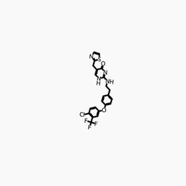 O=c1nc(NCCc2ccc(Oc3ccc(Cl)c(C(F)(F)F)c3)cc2)[nH]cc1Cc1nccs1